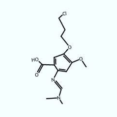 COc1cc(N=CN(C)C)c(C(=O)O)cc1OCCCCl